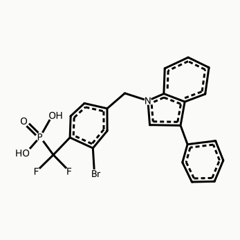 O=P(O)(O)C(F)(F)c1ccc(Cn2cc(-c3ccccc3)c3ccccc32)cc1Br